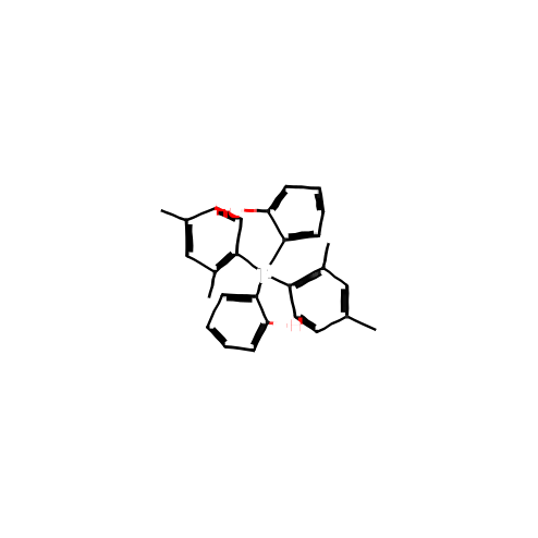 Cc1ccc([B-](c2ccc(C)cc2C)(c2ccccc2O)c2ccccc2O)c(C)c1